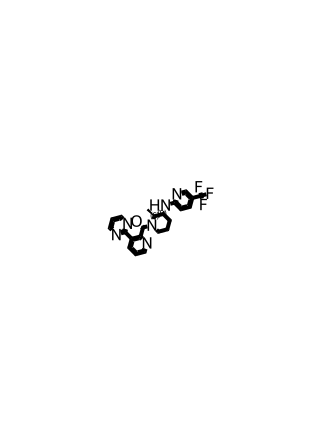 C[C@H]1[C@H](Nc2ccc(C(F)(F)F)cn2)CCCN1C(=O)c1ncccc1-c1ncccn1